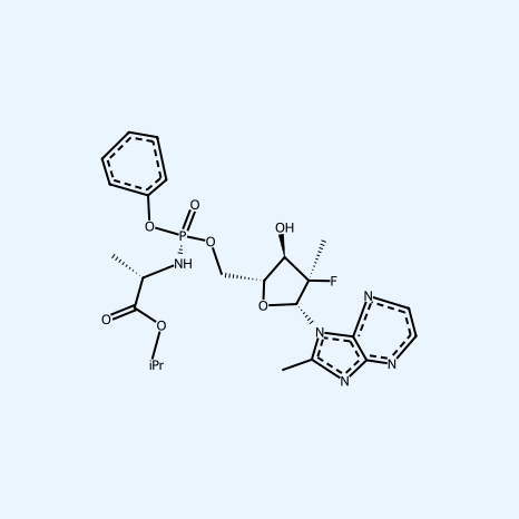 Cc1nc2nccnc2n1[C@@H]1O[C@H](CO[P@@](=O)(N[C@@H](C)C(=O)OC(C)C)Oc2ccccc2)[C@@H](O)[C@@]1(C)F